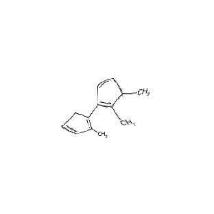 C[C]1C=CC(C2=C(C)C=CC2)=C1C